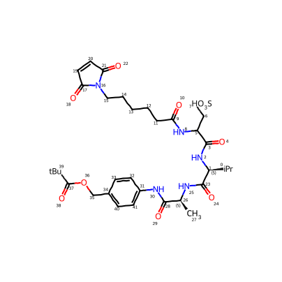 CC(C)[C@H](NC(=O)C(CS(=O)(=O)O)NC(=O)CCCCCN1C(=O)C=CC1=O)C(=O)N[C@@H](C)C(=O)Nc1ccc(COC(=O)C(C)(C)C)cc1